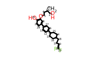 C=C(CO)CCOc1cc(-c2ccc(C3CCC(CCC=C(F)F)CC3)cc2)ccc1O